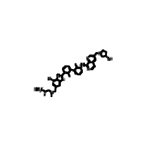 Cc1c(Nc2nccc3cc(CN4CC[C@@H](O)C4)cnc23)cccc1-c1cccc(-c2nc3cc(CN(C)CC(C)C(=O)O)cc(Cl)c3o2)c1C